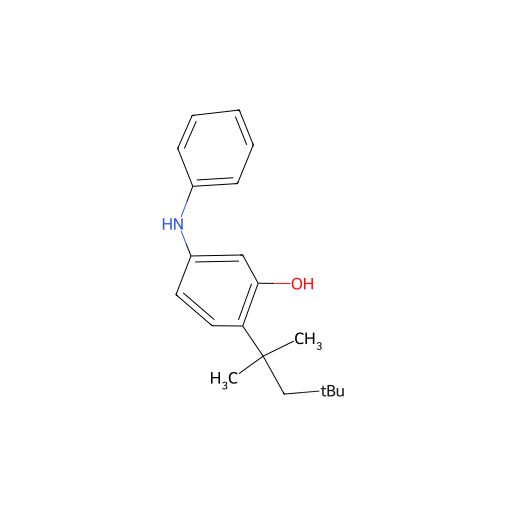 CC(C)(C)CC(C)(C)c1ccc(Nc2ccccc2)cc1O